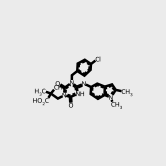 Cc1cc2cc(/N=c3\[nH]c(=O)n(CC(C)(C)C(=O)O)c(=O)n3Cc3ccc(Cl)cc3)ccc2n1C